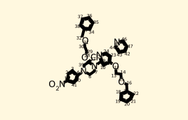 O=[N+]([O-])c1ccc(N2CCN(c3cc(OCCOCc4ccccc4)ccn3)C(Cl)(OCCOCc3ccccc3)C2)cc1.c1ccncc1